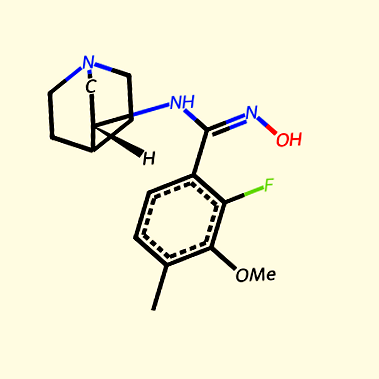 COc1c(C)ccc(/C(=N\O)N[C@H]2CN3CCC2CC3)c1F